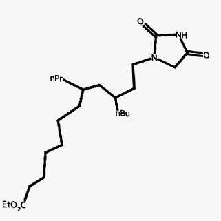 CCCCC(CCN1CC(=O)NC1=O)CC(CCC)CCCCCCC(=O)OCC